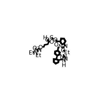 CCOc1nc2cccc(C(=O)OC(C)OC(=O)CCCO/N=[N+](\[O-])N(CC)CC)c2n1Cc1ccc(-c2ccccc2-c2nnn[nH]2)cc1